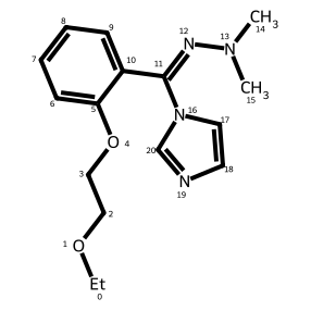 CCOCCOc1ccccc1C(=NN(C)C)n1ccnc1